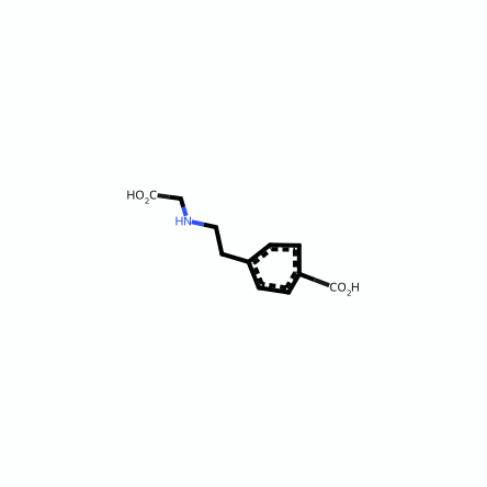 O=C(O)CNCCc1ccc(C(=O)O)cc1